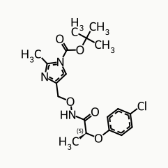 Cc1nc(CONC(=O)[C@H](C)Oc2ccc(Cl)cc2)cn1C(=O)OC(C)(C)C